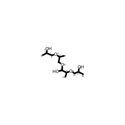 CC(O)COC(C)COC(O)C(C)OCC(C)O